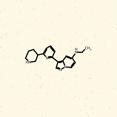 CCNc1ccn2ncc(-c3cccc(C4CCCNC4)n3)c2c1